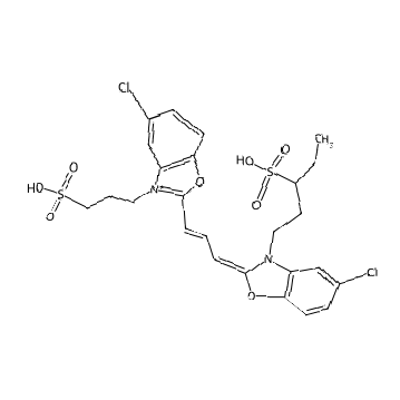 CCC(CCN1C(=CC=Cc2oc3ccc(Cl)cc3[n+]2CCCS(=O)(=O)O)Oc2ccc(Cl)cc21)S(=O)(=O)O